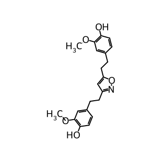 COc1cc(CCc2cc(CCc3ccc(O)c(OC)c3)on2)ccc1O